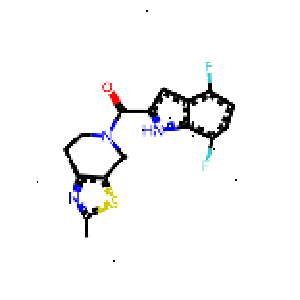 Cc1nc2c(s1)CN(C(=O)c1cc3c(F)ccc(F)c3[nH]1)CC2